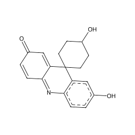 O=C1C=CC2=Nc3ccc(O)cc3C3(CCC(O)CC3)C2=C1